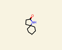 O=C1CCC2(CC[CH]CC2)N1